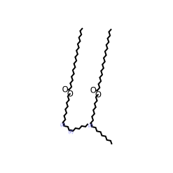 CCCCC/C=C\C/C=C\CCCCCCCCOC(=O)CCCCCCCCCCCCCCCCCCC.CCCCCCCC/C=C\CCCCCCCCOC(=O)CCCCCCCCCCCCCCCCCCC